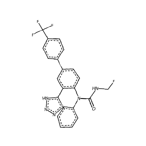 O=C(NCF)N(c1ccccc1)c1ccc(-c2ccc(C(F)(F)F)cc2)cc1-c1nnn[nH]1